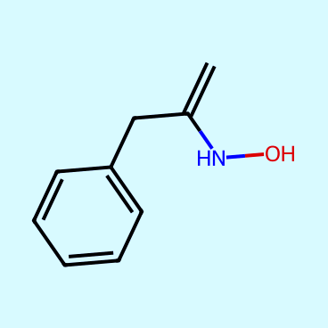 C=C(Cc1ccccc1)NO